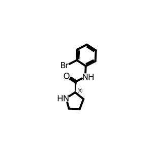 O=C(Nc1ccccc1Br)[C@H]1CCCN1